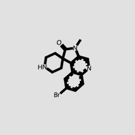 CN1C(=O)C2(CCNCC2)c2c1cnc1ccc(Br)cc21